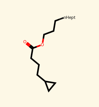 CCCCCCCCCCOC(=O)CCCC1CC1